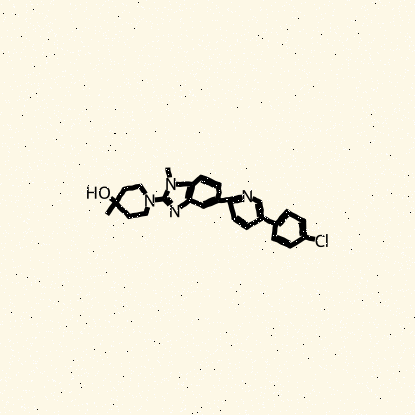 Cn1c(N2CCC(C)(O)CC2)nc2cc(-c3ccc(-c4ccc(Cl)cc4)cn3)ccc21